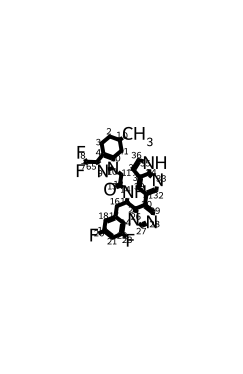 CC1CCc2c(C(F)F)nn(CC(=O)NC(Cc3cc(F)cc(F)c3)c3ncncc3-c3cnc4[nH]ccc4c3)c2C1